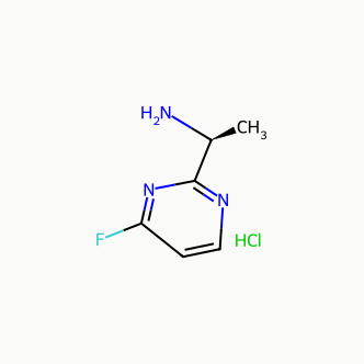 C[C@H](N)c1nccc(F)n1.Cl